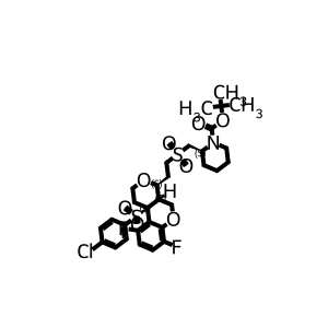 CC(C)(C)OC(=O)N1CCCC[C@H]1CS(=O)(=O)CC[C@@H]1OCC[C@@]2(S(=O)(=O)c3ccc(Cl)cc3)c3c(F)ccc(F)c3OC[C@@H]12